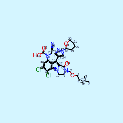 C[Si](C)(C)CCOCN1CCn2c(c(-c3cnn(C4CCCCO4)c3)c3c(N(CC#N)C(=O)O)cc(Cl)c(Cl)c32)C1=O